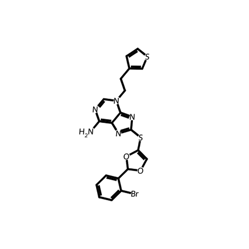 Nc1ncn(CCc2ccsc2)c2nc(SC3=COC(c4ccccc4Br)O3)nc1-2